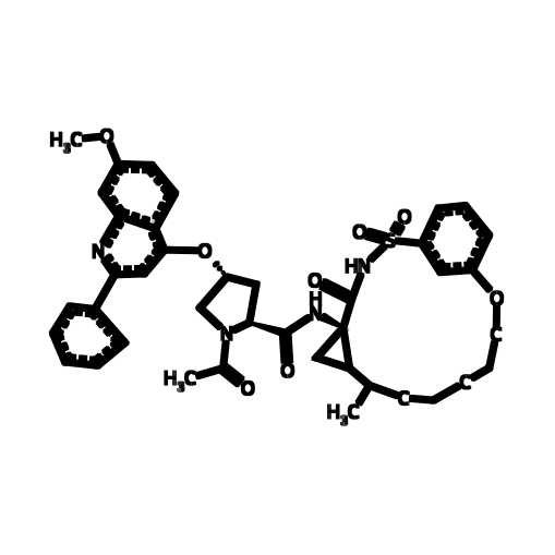 COc1ccc2c(O[C@@H]3C[C@@H](C(=O)N[C@]45CC4C(C)CCCCCOc4cccc(c4)S(=O)(=O)NC5=O)N(C(C)=O)C3)cc(-c3ccccc3)nc2c1